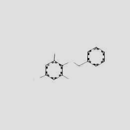 CC(C)(C)c1cc(C=O)cc(C(C)(C)C)c1OCc1ccccc1